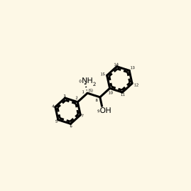 N[C@@H](c1ccccc1)C(O)c1ccccc1